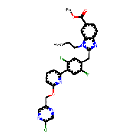 COCCn1c(Cc2cc(F)c(-c3cccc(OCc4cnc(Cl)cn4)n3)cc2F)nc2ccc(C(=O)OC(C)(C)C)cc21